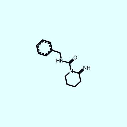 N=C1CCCCN1C(=O)NCc1ccccc1